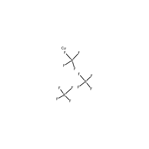 F[B-](F)(F)F.F[B-](F)(F)F.F[B-](F)(F)F.[Cu]